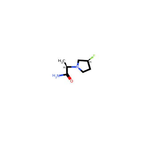 C[C@H](C(N)=O)N1CC[C@H](F)C1